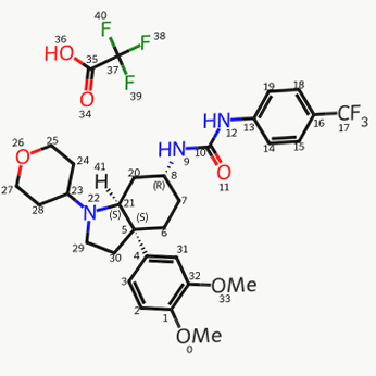 COc1ccc([C@@]23CC[C@@H](NC(=O)Nc4ccc(C(F)(F)F)cc4)C[C@@H]2N(C2CCOCC2)CC3)cc1OC.O=C(O)C(F)(F)F